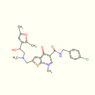 Cc1cc(C(O)CN(C)Cc2cc3c(=O)c(C(=O)NCc4ccc(Cl)cc4)cn(C)c3s2)c(C)o1